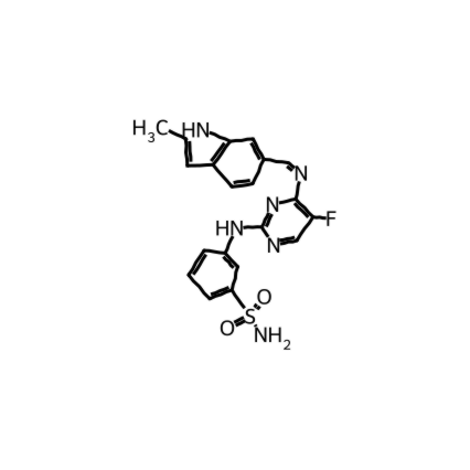 Cc1cc2ccc(/C=N\c3nc(Nc4cccc(S(N)(=O)=O)c4)ncc3F)cc2[nH]1